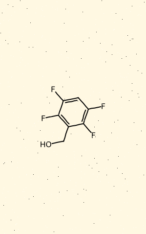 OCc1c(F)c(F)cc(F)c1F